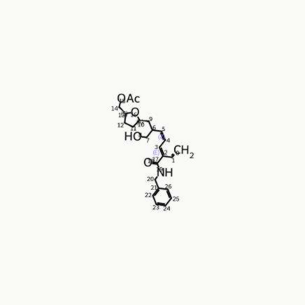 C=C/C(=C\C=C/C(CO)C[C@H]1CC[C@@H](COC(C)=O)O1)C(=O)NCc1ccccc1